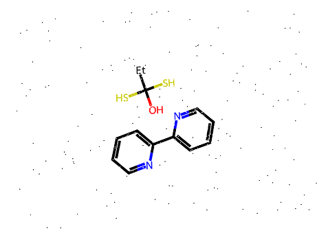 CCC(O)(S)S.c1ccc(-c2ccccn2)nc1